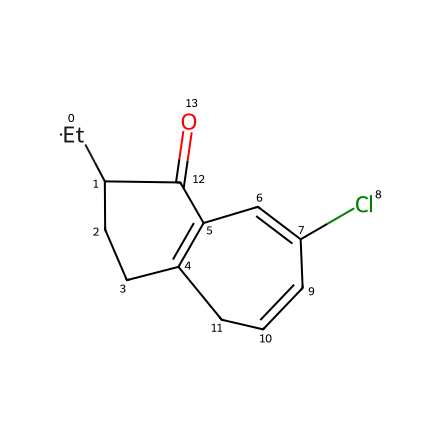 C[CH]C1CCC2=C(C=C(Cl)C=CC2)C1=O